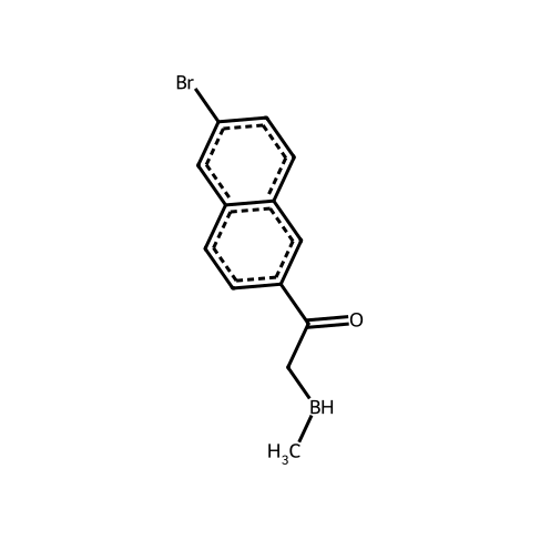 CBCC(=O)c1ccc2cc(Br)ccc2c1